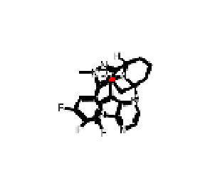 Cn1nc2c(c1-c1cc(F)c(F)c(F)c1)C[C@H]1CCC[C@@H]2N1C(=O)c1cn(C)c2nccnc12